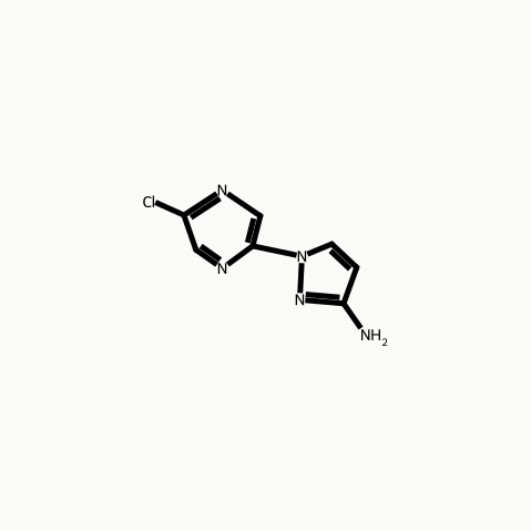 Nc1ccn(-c2cnc(Cl)cn2)n1